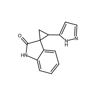 O=C1Nc2ccccc2C12CC2c1ccn[nH]1